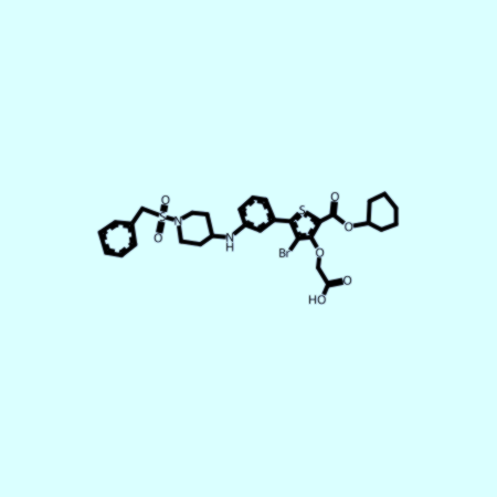 O=C(O)COc1c(C(=O)OC2CCCCC2)sc(-c2cccc(NC3CCN(S(=O)(=O)Cc4ccccc4)CC3)c2)c1Br